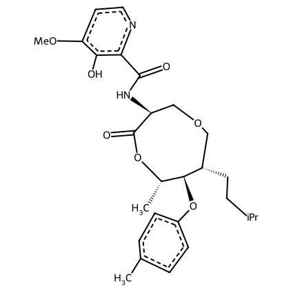 COc1ccnc(C(=O)N[C@H]2COC[C@H](CCC(C)C)[C@@H](Oc3ccc(C)cc3)[C@H](C)OC2=O)c1O